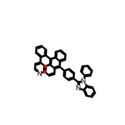 c1ccc(-n2c(-c3ccc(-c4c5ccccc5c(-c5ccccc5-c5ccncc5)c5ccccc45)cc3)nc3ccccc32)cc1